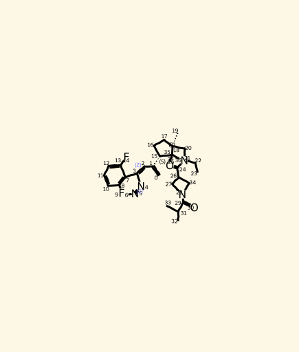 C=C(/C=C(\N=N/C)c1c(F)cccc1F)[C@@H]1CC[C@@](C)(CN(CC)C(=O)C2CN(C(=O)C(C)C)C2)C1(C)C